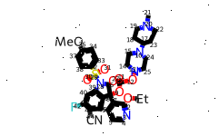 CCOc1ncccc1C1(OC(=O)ON2CCN(C3CCN(C)CC3)CC2)C(=O)N(S(=O)(=O)c2ccc(OC)cc2)c2cc(F)c(C#N)cc21